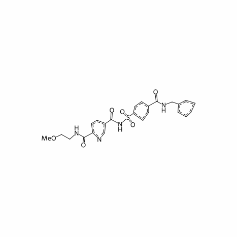 COCCNC(=O)c1ccc(C(=O)NS(=O)(=O)c2ccc(C(=O)NCc3ccccc3)cc2)cn1